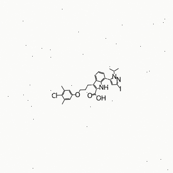 Cc1cc(OCCCc2c(C(=O)O)[nH]c3c(-c4cc(I)nn4C(C)C)cccc23)cc(C)c1Cl